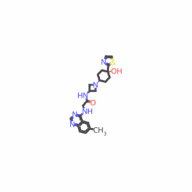 Cc1ccc2ncnc(NCC(=O)NC3CN([C@H]4CC[C@@](O)(c5nccs5)CC4)C3)c2c1